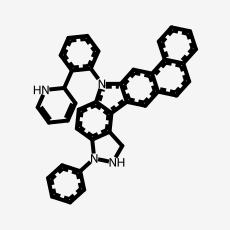 C1=CNC(c2ccccc2-n2c3cc4c(ccc5ccccc54)cc3c3c4c(ccc32)N(c2ccccc2)NC4)C=C1